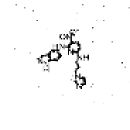 O=[N+]([O-])c1ccc(NCCCn2ccnc2)nc1Nc1ccc2[nH]ncc2c1